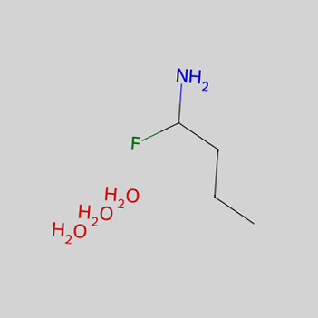 CCCC(N)F.O.O.O